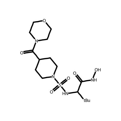 CC(C)(C)C(NS(=O)(=O)N1CCC(C(=O)N2CCOCC2)CC1)C(=O)NO